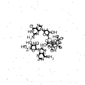 Nc1nc2c(ncn2[C@H]2C[C@H](O)[C@@H](COP(=O)(O)OP(=O)(O)OP(=O)(O)OP(=O)(O)O)O2)c(=O)[nH]1.Nc1ncnc2c1ncn2[C@@H]1O[C@H](CO)[C@@H](O)[C@H]1O